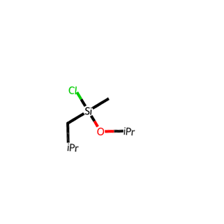 CC(C)C[Si](C)(Cl)OC(C)C